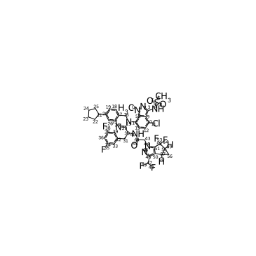 Cn1nc(NS(C)(=O)=O)c2c(Cl)ccc(N3Cc4ccc(C5CCCC5)cc4N=C3[C@H](Cc3cc(F)cc(F)c3)NC(=O)Cn3nc(C(F)F)c4c3C(F)(F)[C@@H]3C[C@H]43)c21